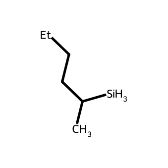 CCCCC(C)[SiH3]